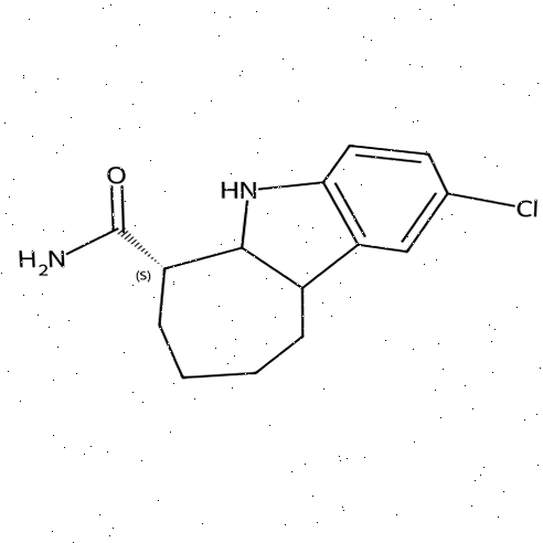 NC(=O)[C@H]1CCCCC2c3cc(Cl)ccc3NC21